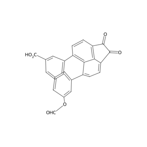 O=COc1cccc(-c2ccc3c4c(ccc(-c5cccc(C(=O)O)c5)c24)C(=O)C3=O)c1